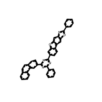 c1ccc(-c2nc(-c3ccc4c(c3)oc3cc5nc(-c6ccccc6)oc5cc34)nc(-c3ccc4ccc5ccccc5c4c3)n2)cc1